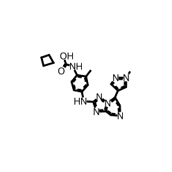 C1CCC1.Cc1cc(Nc2nc3cncc(-c4cnn(C)c4)n3n2)ccc1NC(=O)O